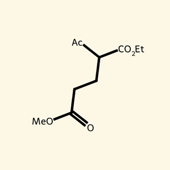 CCOC(=O)C(CCC(=O)OC)C(C)=O